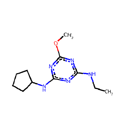 CCNc1nc(NC2CCCC2)nc(OC)n1